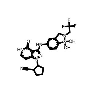 N#CC1CCCC1n1nc(Nc2ccc3c(c2)CN(CC(F)(F)F)S3(O)O)c2c(=O)[nH]ccc21